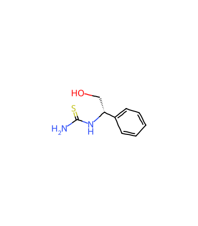 NC(=S)N[C@H](CO)c1ccccc1